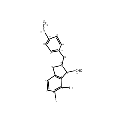 O=CC1c2c(ccc(F)c2I)CN1Cc1ccc(OC(F)(F)F)cc1